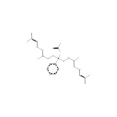 CC(=O)OC(CCC(C)CCC=C(C)C)(CCC(C)CCC=C(C)C)c1ccccc1